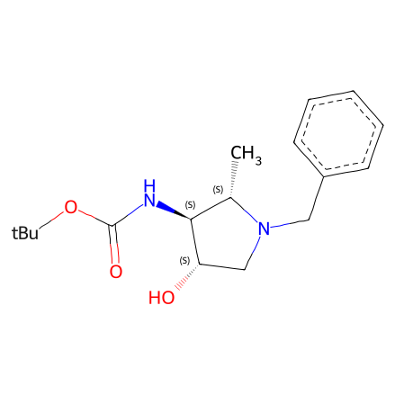 C[C@H]1[C@H](NC(=O)OC(C)(C)C)[C@@H](O)CN1Cc1ccccc1